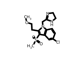 COCCc1c(S(C)(=O)=O)c2cc(Cl)ccc2n1CC1=NCCN1